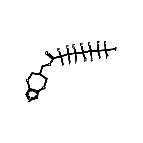 O=C(OCC1COc2cscc2OC1)C(F)(F)C(F)(F)C(F)(F)C(F)(F)C(F)(F)C(F)(F)C(F)(F)F